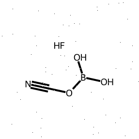 F.N#COB(O)O